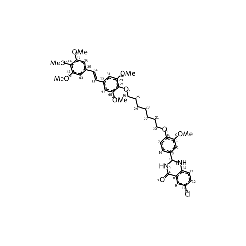 COc1cc(C2NC(=O)c3cc(Cl)ccc3N2)ccc1OCCCCCCCOc1c(OC)cc(C=Cc2cc(OC)c(OC)c(OC)c2)cc1OC